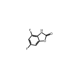 O=c1[nH]c2c(F)cc(F)cc2o1